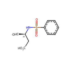 O=[C][C@H](CC(=O)O)NS(=O)(=O)c1ccccc1